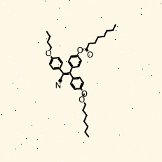 CCCCCCCOOc1ccc(C(=C(C#N)c2ccc(OCCCC)cc2)c2ccc(OC(=O)CCCCCCC)cc2)cc1